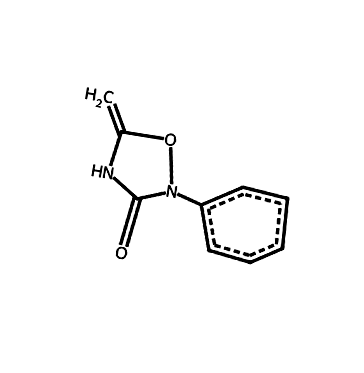 C=C1NC(=O)N(c2ccccc2)O1